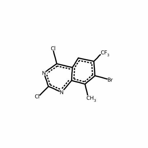 Cc1c(Br)c(C(F)(F)F)cc2c(Cl)nc(Cl)nc12